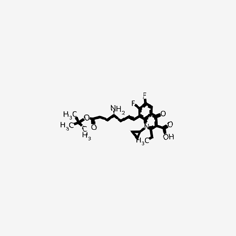 CCc1c(C(=O)O)c(=O)c2cc(F)c(F)c(C=CC[C@@H](N)CCC(=O)OC(C)(C)C)c2n1C1CC1